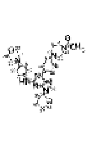 CC(=O)N1CCCN(c2ccc(-c3nc(Nc4ccc(N5CCOCC5)cc4)nc4c3ncn4C3CCCCO3)cn2)CC1